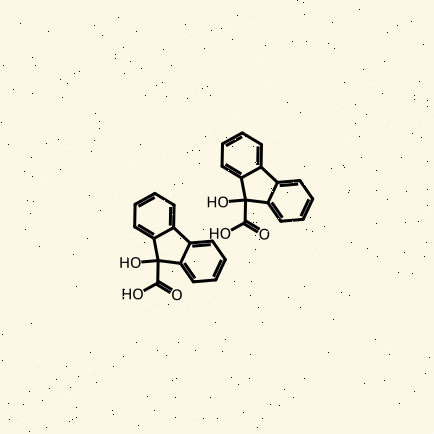 O=C(O)C1(O)c2ccccc2-c2ccccc21.O=C(O)C1(O)c2ccccc2-c2ccccc21